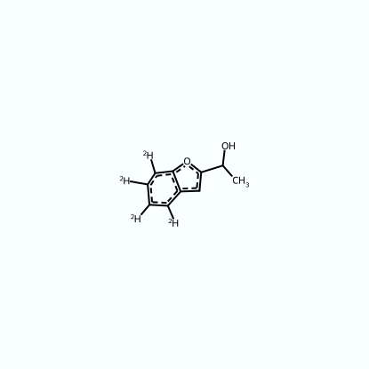 [2H]c1c([2H])c([2H])c2oc(C(C)O)cc2c1[2H]